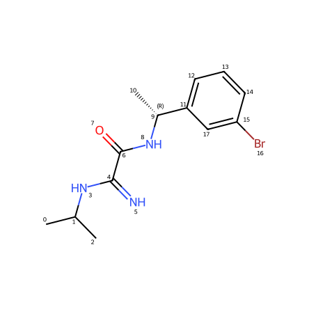 CC(C)NC(=N)C(=O)N[C@H](C)c1cccc(Br)c1